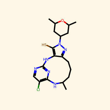 CC1CCCc2nn(C3CC(C)OC(C)C3)c(S)c2Nc2ncc(Cl)c(n2)N1